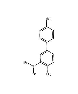 CC(C)[S+]([O-])c1cc(-c2ccc(C(C)(C)C)cc2)ccc1C(F)(F)F